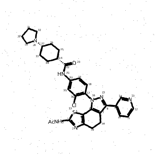 CC(=O)Nc1nc2c(s1)-c1c(c(-c3cccnc3)nn1-c1ccc(NC(=O)[C@H]3CC[C@@H](N4CCCC4)CC3)cc1Cl)CC2